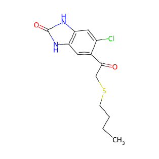 CCCCSCC(=O)c1cc2[nH]c(=O)[nH]c2cc1Cl